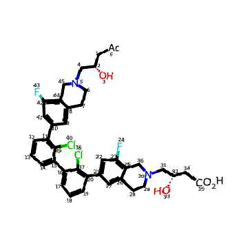 CC(=O)C[C@H](O)CN1CCc2cc(-c3cccc(-c4cccc(-c5cc(F)c6c(c5)CCN(C[C@@H](O)CC(=O)O)C6)c4Cl)c3Cl)cc(F)c2C1